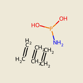 C=C.C=C.C=C.NP(O)O